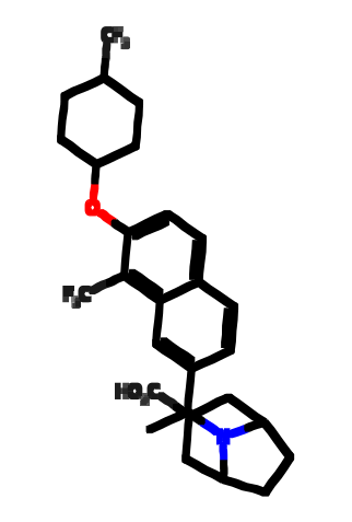 CC(c1ccc2ccc(OC3CCC(C(F)(F)F)CC3)c(C(F)(F)F)c2c1)N1C2CCC1CC(C(=O)O)C2